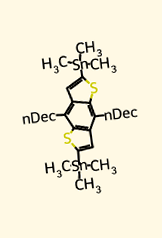 CCCCCCCCCCc1c2c[c]([Sn]([CH3])([CH3])[CH3])sc2c(CCCCCCCCCC)c2c[c]([Sn]([CH3])([CH3])[CH3])sc12